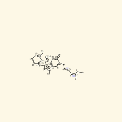 CC/C(C)=C\C=C\Cc1cc(OC)c(C(O)(c2ccccc2C)C(F)(F)F)cc1C